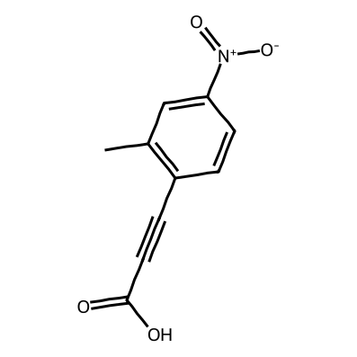 Cc1cc([N+](=O)[O-])ccc1C#CC(=O)O